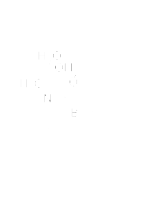 CN(C(=O)[B]c1ccccc1)c1ccccc1.O.O